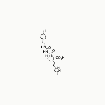 Cc1nnc(SCC2=C(C(=O)O)N3C(=O)C(NC(=O)NCCc4ccc(Cl)cc4)[C@@H]3SC2)s1